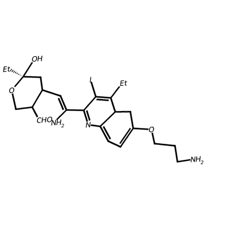 CCC1=C(I)C(/C(N)=C/C2C[C@@](O)(CC)OCC2C=O)=NC2=CC=C(OCCCN)CC21